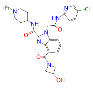 CC(C)N1CCC(NC(=O)c2nc3c(C(=O)N4CC(O)C4)cccc3n2CC(=O)Nc2ccc(Cl)cn2)CC1